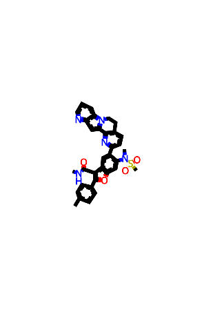 CNC(=O)c1c(-c2ccc(C)cc2)oc2cc(N(C)S(C)(=O)=O)c(-c3ccc4c(n3)-c3cc5ncccc5n3CC4)cc12